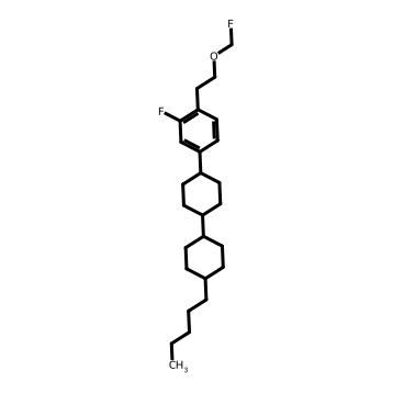 CCCCCC1CCC(C2CCC(c3ccc(CCOCF)c(F)c3)CC2)CC1